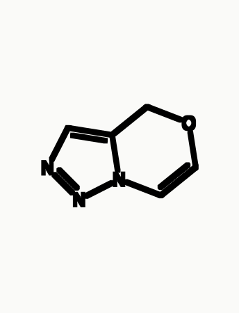 C1=Cn2nncc2CO1